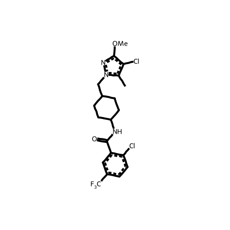 COc1nn(CC2CCC(NC(=O)c3cc(C(F)(F)F)ccc3Cl)CC2)c(C)c1Cl